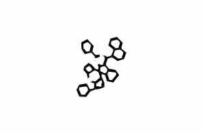 c1ccc(-c2nc(-c3cccc4ccccc34)c3c(n2)C2(c4ccccc4-3)c3ccccc3-n3c4ccccc4c4cccc2c43)cc1